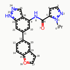 CC(C)n1nccc1C(=O)Nc1cc(-c2ccc3occc3c2)cc2[nH]ncc12